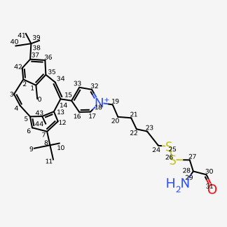 Cc1c2ccc3cc(C(C)(C)C)cc(c(-c4cc[n+](CCCCCCSSCC(N)C=O)cc4)cc1cc(C(C)(C)C)c2)c3C